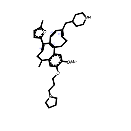 COc1cc2c(cc1OCCCN1CCCC1)C(C)C/C=C(c1ccc(C)o1)/C1=C\2CC/C=C(CC2CCNCC2)/C=C\1